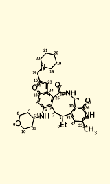 CCC1Cc2c(NC3CCOCC3)cc3oc(CN4CCCCC4)cc3c2C(=O)NCc2c1cc(C)[nH]c2=O